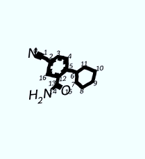 N#Cc1ccc(C2CCCCC2)c(C(N)=O)c1